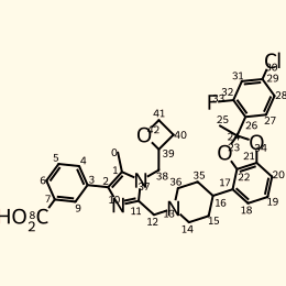 Cc1c(-c2cccc(C(=O)O)c2)nc(CN2CCC(c3cccc4c3OC(C)(c3ccc(Cl)cc3F)O4)CC2)n1CC1CCO1